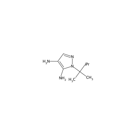 CC(C)C(C)(C)n1ncc(N)c1N